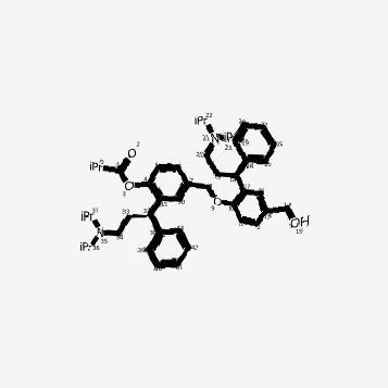 CC(C)C(=O)Oc1ccc(COc2ccc(CO)cc2C(CCN(C(C)C)C(C)C)c2ccccc2)cc1[C@H](CCN(C(C)C)C(C)C)c1ccccc1